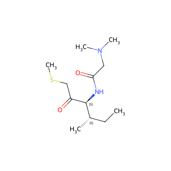 CC[C@H](C)[C@H](NC(=O)CN(C)C)C(=O)CSC